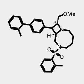 COC[C@@H]1C(c2ccc(-c3ccccc3C)cc2)[C@@H]2CN(S(=O)(=O)c3ccccc3C)CCCCN12